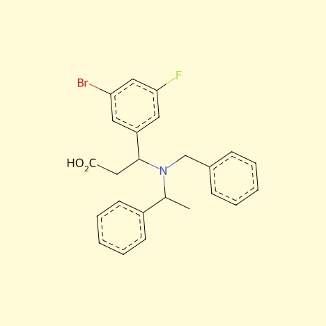 CC(c1ccccc1)N(Cc1ccccc1)C(CC(=O)O)c1cc(F)cc(Br)c1